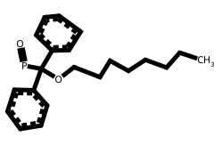 CCCCCCCCOC(P=O)(c1ccccc1)c1ccccc1